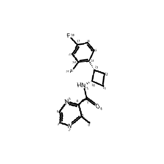 Cc1nccnc1C(=O)N[C@H]1CC[C@H]1c1ccc(F)cc1F